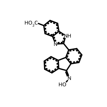 O=C(O)c1ccc2[nH]c(-c3cccc4c3-c3ccccc3C4=NO)nc2c1